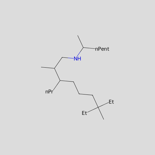 CCCCCC(C)NCC(C)C(CCC)CCCC(C)(CC)CC